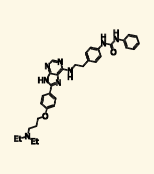 CCN(CC)CCCOc1ccc(-c2nc3c(NCCc4ccc(NC(=O)Nc5ccccc5)cc4)ncnc3[nH]2)cc1